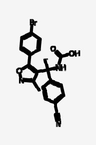 [CH2]C(NC(=O)O)(c1ccc(C#N)cc1)c1c(C)noc1-c1ccc(Br)cc1